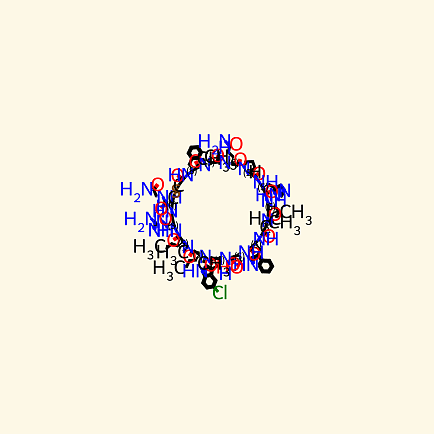 CCCC[C@H]1C(=O)N(C)[C@@H](CCCC)C(=O)N[C@@H](CNC(=N)N)C(=O)N[C@H](C(=O)NCC(N)=O)CSCC(=O)N[C@@H](Cc2ccccc2)C(=O)N(C)[C@@H](C)C(=O)N[C@@H](CCC(N)=O)C(=O)N2CCC[C@H]2C(=O)N[C@@H](Cc2cnc[nH]2)C(=O)N[C@@H](CC(C)C)C(=O)N(C)CC(=O)N[C@@H](Cc2c[nH]c3ccccc23)C(=O)N[C@@H](CO)C(=O)N[C@@H](Cc2c[nH]c3ccc(Cl)cc23)C(=O)N1C